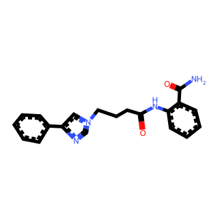 NC(=O)c1ccccc1NC(=O)CCCn1cnc(-c2ccccc2)c1